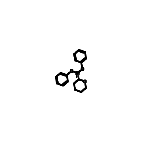 c1ccc([O][SnH]([O]c2ccccc2)[CH]2CCCCO2)cc1